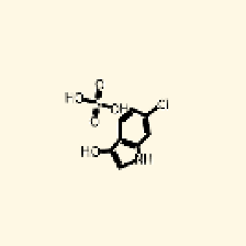 O=S(=O)(O)O.Oc1c[nH]c2cc(Cl)ccc12